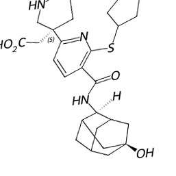 O=C(O)C[C@@]1(c2ccc(C(=O)N[C@H]3C4CC5CC3C[C@@](O)(C5)C4)c(SC3CCCC3)n2)CCCNC1